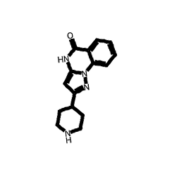 O=c1[nH]c2cc(C3CCNCC3)nn2c2ccccc12